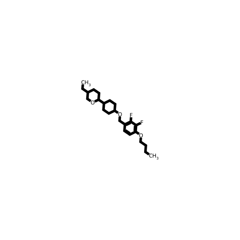 CCCCOc1ccc(COC2CCC(C3CCC(CC)CO3)CC2)c(F)c1F